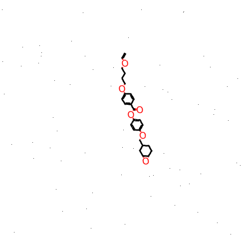 C=COCCCCOc1ccc(C(=O)Oc2ccc(OCC3CCC4OC4C3)cc2)cc1